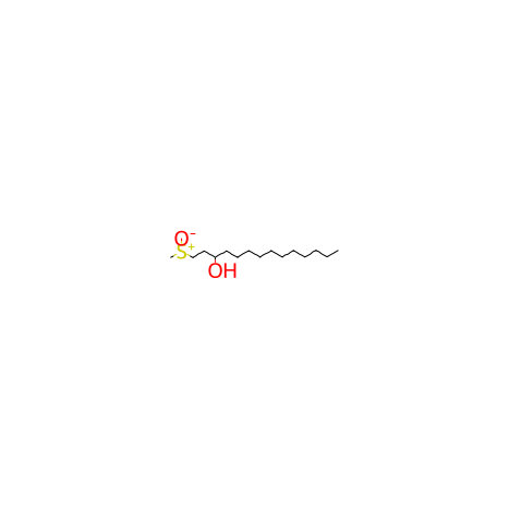 CCCCCCCCCCCC(O)CC[S+](C)[O-]